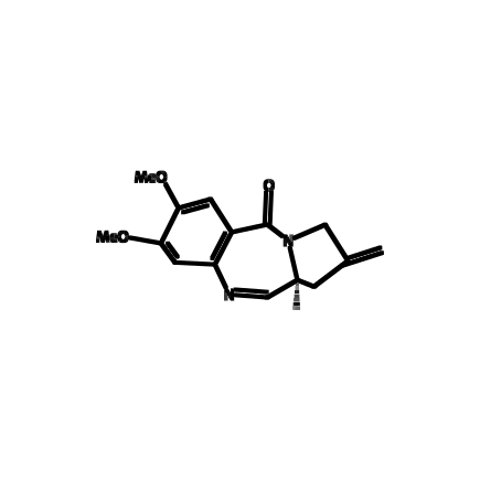 C=C1CN2C(=O)c3cc(OC)c(OC)cc3N=C[C@]2(C)C1